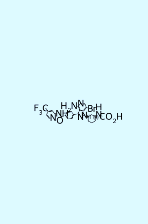 Nc1ncc(Br)c2c1c(-c1ccc(C(=O)Nc3cc(C(F)(F)F)ccn3)cc1)nn2[C@@H]1CCC[C@@H](NC(=O)O)C1